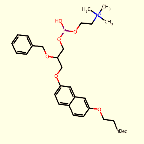 CCCCCCCCCCCCOc1ccc2ccc(OCC(COP(O)OCC[N+](C)(C)C)OCc3ccccc3)cc2c1